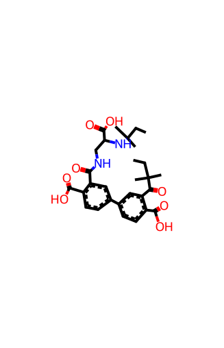 CCC(C)(C)NC(CNC(=O)c1cc(-c2ccc(C(=O)O)c(C(=O)C(C)(C)CC)c2)ccc1C(=O)O)C(=O)O